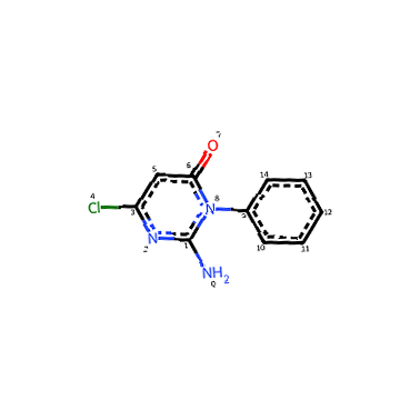 Nc1nc(Cl)cc(=O)n1-c1ccccc1